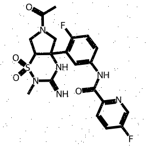 CC(=O)N1CC2C(c3cc(NC(=O)c4ccc(F)cn4)ccc3F)(C1)NC(=N)N(C)S2(=O)=O